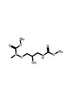 CN(OCC(O)CNC(=O)OC(C)(C)C)C(=O)OC(C)(C)C